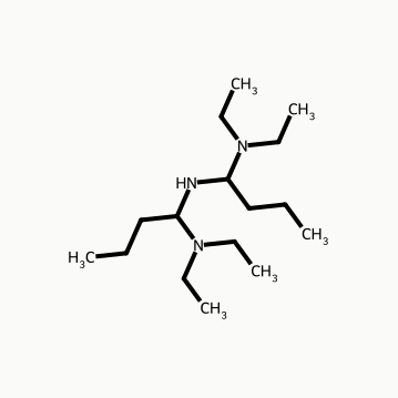 CCCC(NC(CCC)N(CC)CC)N(CC)CC